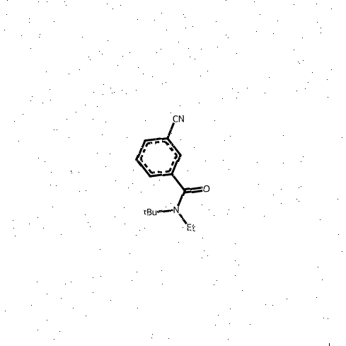 CCN(C(=O)c1cccc(C#N)c1)C(C)(C)C